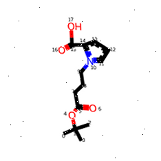 CC(C)(C)OC(=O)CCCn1cccc1C(=O)O